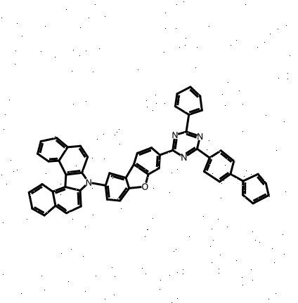 c1ccc(-c2ccc(-c3nc(-c4ccccc4)nc(-c4ccc5c(c4)oc4ccc(-n6c7ccc8ccccc8c7c7c8ccccc8ccc76)cc45)n3)cc2)cc1